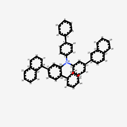 c1ccc(-c2ccc(N(c3cccc(-c4ccc5ccccc5c4)c3)c3cc(-c4cccc5ccccc45)ccc3-c3ccccc3)cc2)cc1